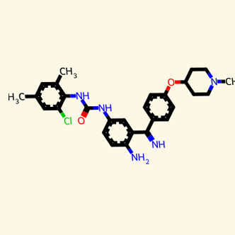 Cc1cc(C)c(NC(=O)Nc2ccc(N)c(C(=N)c3ccc(OC4CCN(C)CC4)cc3)c2)c(Cl)c1